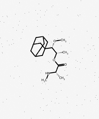 CN[C@@H](C)C(=O)O[C@@H](C)[C@@H](OC)C12CC3CC(CC(C3)C1)C2